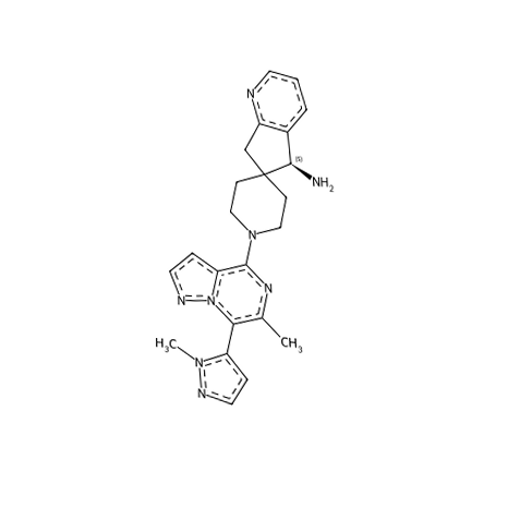 Cc1nc(N2CCC3(CC2)Cc2ncccc2[C@H]3N)c2ccnn2c1-c1ccnn1C